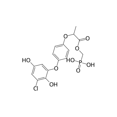 CC(Oc1ccc(Oc2cc(O)cc(Cl)c2O)cc1)C(=O)OCP(=O)(O)O